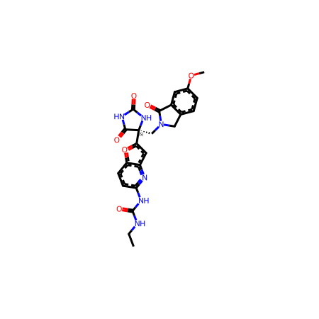 CCNC(=O)Nc1ccc2oc([C@]3(CN4Cc5ccc(OC)cc5C4=O)NC(=O)NC3=O)cc2n1